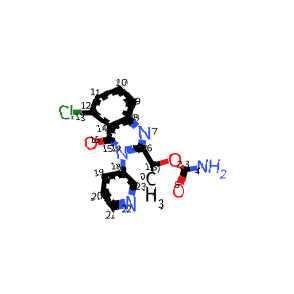 C[C@H](OC(N)=O)c1nc2cccc(Cl)c2c(=O)n1-c1cccnc1